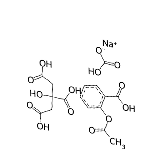 CC(=O)Oc1ccccc1C(=O)O.O=C(O)CC(O)(CC(=O)O)C(=O)O.O=C([O-])O.[Na+]